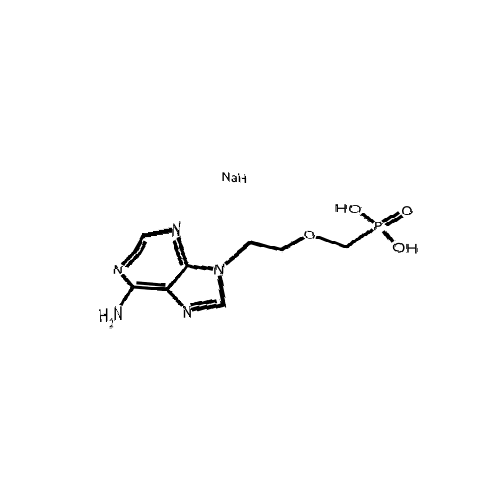 Nc1ncnc2c1ncn2CCOCP(=O)(O)O.[NaH]